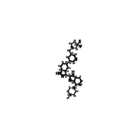 CN1CCN(c2nccc3[nH]c(-c4n[nH]c5ccc(-c6cncc(CN7CCC(F)(F)C7)c6)cc45)nc23)CC1